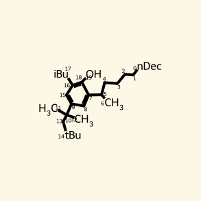 CCCCCCCCCCCCCCC(C)c1cc(C(C)(C)CC(C)(C)C)cc(C(C)CC)c1O